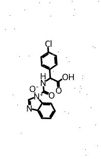 O=C(O)C(NC(=O)[N+]1([O-])C=Nc2ccccc21)c1ccc(Cl)cc1